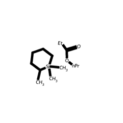 CC1CCCC[Si]1(C)C.CCCOC(=O)CC